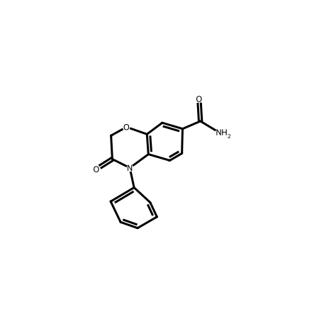 NC(=O)c1ccc2c(c1)OCC(=O)N2c1ccccc1